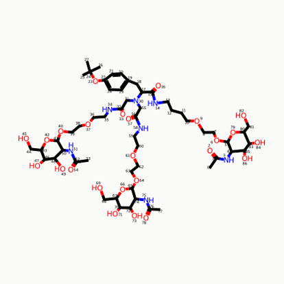 CC(=O)NC1C(OCCOCCCCNC(=O)C(Cc2ccc(OC(C)(C)C)cc2)N(CC(=O)NCCOCCOC2OC(CO)C(O)C(O)C2NC(C)=O)CC(=O)NCCOCCOC2OC(CO)C(O)C(O)C2NC(C)=O)OC(CO)C(O)C1O